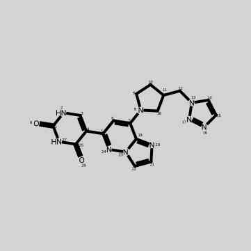 O=c1[nH]cc(-c2cc(N3CCC(Cn4ccnn4)C3)c3nccn3n2)c(=O)[nH]1